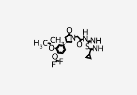 CC(C)Oc1cc([C@@H]2CC(=O)N(CC(=O)NC(=N)SC(=N)C3CC3)C2)ccc1OC(F)F